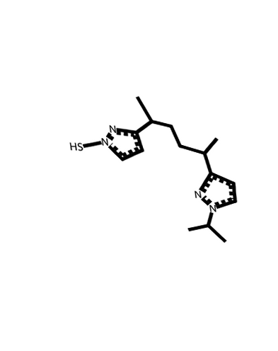 CC(CCC(C)c1ccn(C(C)C)n1)c1ccn(S)n1